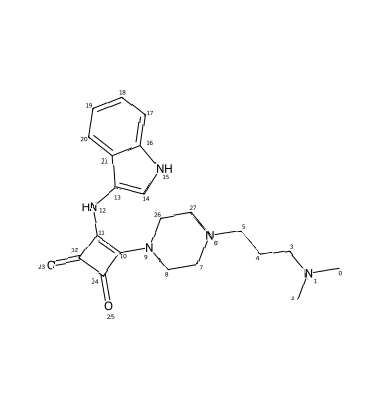 CN(C)CCCN1CCN(c2c(Nc3c[nH]c4ccccc34)c(=O)c2=O)CC1